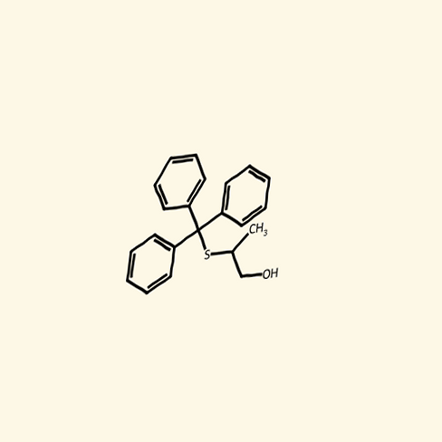 CC(CO)SC(c1ccccc1)(c1ccccc1)c1ccccc1